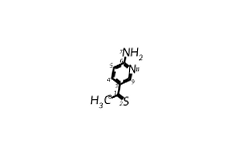 CC(=S)c1ccc(N)nc1